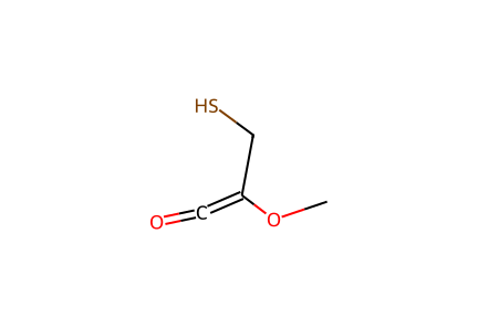 COC(=C=O)CS